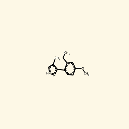 CCc1cc(OC)ccc1-c1n[nH]cc1C